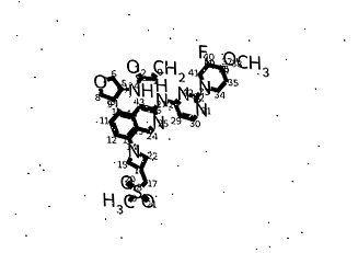 C=CC(=O)N[C@@H]1COC[C@H]1c1ccc(N2CC(CS(C)(=O)=O)C2)c2cnc(Nc3ccnc(N4CC[C@@H](OC)[C@@H](F)C4)n3)cc12